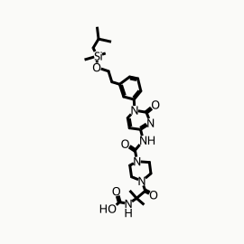 CC(C)C[Si](C)(C)OCCc1cccc(-n2ccc(NC(=O)N3CCN(C(=O)C(C)(C)NC(=O)O)CC3)nc2=O)c1